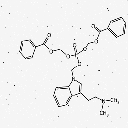 CN(C)CCc1cn(COP(=O)(OCOC(=O)c2ccccc2)OCOC(=O)c2ccccc2)c2ccccc12